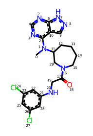 CN(c1ncnc2[nH]ncc12)C1CCCCN(C(=O)CNc2cc(Cl)cc(Cl)c2)C1